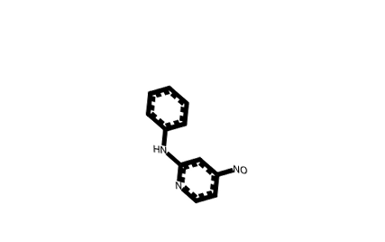 O=Nc1ccnc(Nc2ccccc2)c1